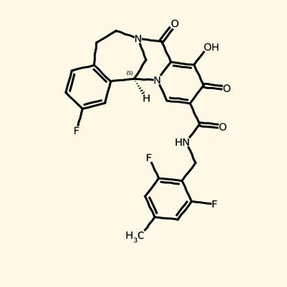 Cc1cc(F)c(CNC(=O)c2cn3c(c(O)c2=O)C(=O)N2CCc4ccc(F)cc4[C@H]3C2)c(F)c1